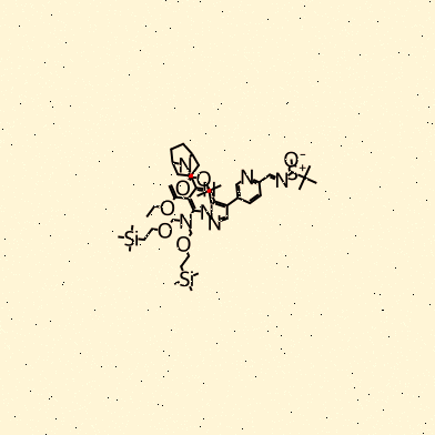 C=C(OCC)c1c(C2CC3CCC(C2)N3C(=O)OC(C)(C)C)nc2c(-c3ccc(C=N[S+]([O-])C(C)(C)C)nc3)cnn2c1N(COCC[Si](C)(C)C)COCC[Si](C)(C)C